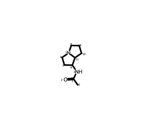 CC(=O)NC1CCN2CCCC12